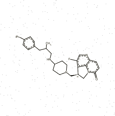 CC(CNC1CCN(C[C@@H]2Cn3c(=O)ccc4ncc(F)c2c43)CC1)Cc1ccc(C(C)C)cc1